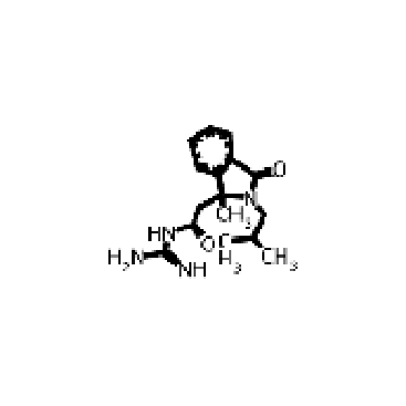 CC(C)CN1C(=O)c2ccccc2C1(C)CC(=O)NC(=N)N